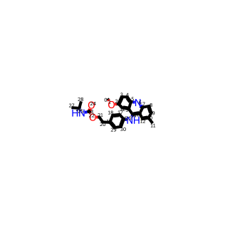 COc1ccc2nc3ccc(C)cc3c(Nc3ccc(CCOC(=O)NC(C)C)cc3)c2c1